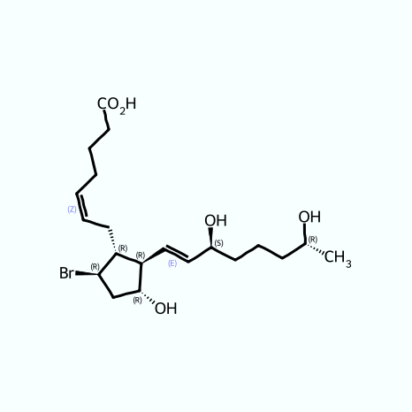 C[C@@H](O)CCC[C@H](O)/C=C/[C@@H]1[C@@H](C/C=C\CCCC(=O)O)[C@H](Br)C[C@H]1O